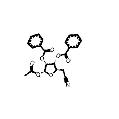 CC(=O)O[C@H]1O[C@H](CC#N)[C@@H](OC(=O)c2ccccc2)[C@H]1OC(=O)c1ccccc1